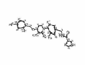 O=C(NCc1cc(F)c(-n2ccc(OCc3ccc(F)cc3F)c(Cl)c2=O)c(F)c1)c1c[nH]cn1